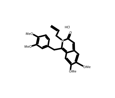 C=CCn1c(Cc2ccc(OC)c(OC)c2)c2cc(OC)c(OC)cc2cc1=O.Cl